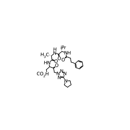 CC(C)[C@H](NC(=O)CCc1ccccc1)C(=O)N[C@@H](C)C(=O)NC(CC(=O)O)C(=O)Cn1nnc(N2CCCC2)n1